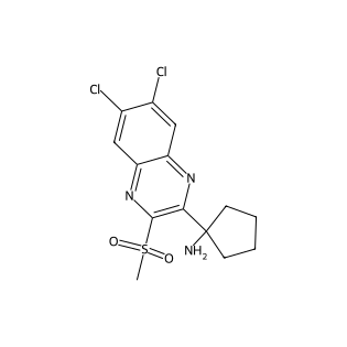 CS(=O)(=O)c1nc2cc(Cl)c(Cl)cc2nc1C1(N)CCCC1